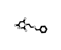 O=C1CC(=O)N(CCOCc2ccccc2)C(=O)N1